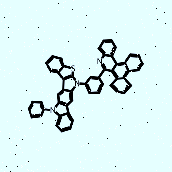 c1ccc(-n2c3ccccc3c3cc4c(cc32)c2c3ccccc3sc2n4-c2cccc(-c3nc4ccccc4c4c5ccccc5c5ccccc5c34)c2)cc1